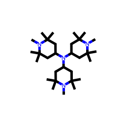 CN1C(C)(C)CC(N(C2CC(C)(C)N(C)C(C)(C)C2)C2CC(C)(C)N(C)C(C)(C)C2)CC1(C)C